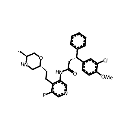 [CH2][C@H]1CO[C@H](CCc2c(F)cncc2NC(=O)C[C@H](c2ccccc2)c2ccc(OC)c(Cl)c2)CN1